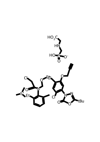 C#CCOc1cc(-n2nc(C(C)(C)C)oc2=O)c(Cl)cc1Cl.CCOCN(C(=O)CCl)c1c(C)cccc1CC.C[S+](C)C.O=C(O)CNCP(=O)([O-])O